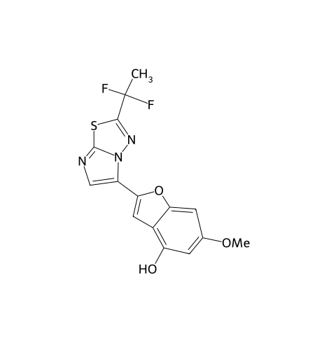 COc1cc(O)c2cc(-c3cnc4sc(C(C)(F)F)nn34)oc2c1